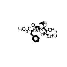 CC(C)C[C@H](NC(=O)[C@H](C)NC=O)C(=O)N[C@@H](Cc1ccccc1)C(=O)O